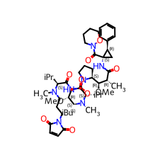 CC[C@H](C)[C@@H]([C@@H](CC(=O)N1CCC[C@H]1[C@H](OC)[C@@H](C)C(=O)N[C@@]1(C(=O)N2CCCCO2)C[C@@H]1c1ccccc1)OC)N(C)[C@H](C(=O)NC(=O)[C@H](C(C)C)N(C)CCCN1C(=O)C=CC1=O)C(C)C